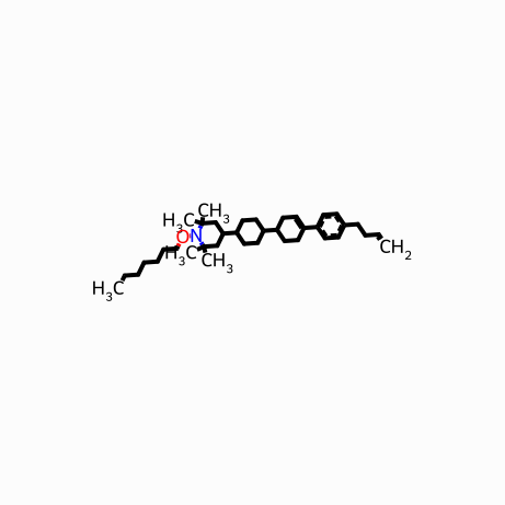 C=CCCc1ccc(C2=CCC(C3CCC(C4CC(C)(C)N(OCCCCCCC)C(C)(C)C4)CC3)CC2)cc1